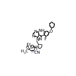 CCOC(C)(C)/C=C(/C#N)C(=O)N1CCCC1Cn1nc(-c2ccc(Oc3ccccc3)cc2F)c2c(N)ncnc21